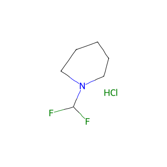 Cl.FC(F)N1CCCCC1